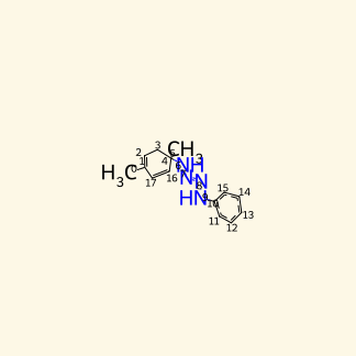 CC1=CCC(C)(NN=NNc2ccccc2)C=C1